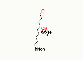 CCCCCCCCCCCCCCCCCCO.O=S(=O)(O)O.[AlH3]